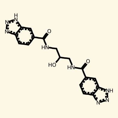 O=C(NCC(O)CNC(=O)c1ccc2nn[nH]c2c1)c1ccc2nn[nH]c2c1